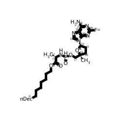 CCCCCCCCCCCCCCCCCOC(=O)[C@H](C)N[PH](=O)OC[C@]1(C)CC[C@H](n2cnc3c(N)nc(F)nc32)O1